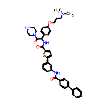 CN(C)CCCOc1ccc(C(NC(=O)c2ccc(-c3cccc(NC(=O)c4ccc(-c5ccccc5)cc4)c3)s2)C(=O)N2CCNCC2)cc1